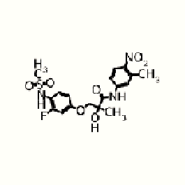 Cc1cc(NC(=O)C(C)(O)COc2ccc(NS(C)(=O)=O)c(F)c2)ccc1[N+](=O)[O-]